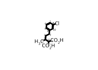 CC(CCc1cccc(Cl)c1)C(C(=O)O)C(=O)O